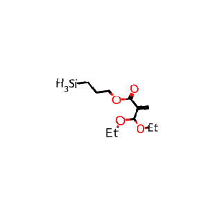 C=C(C(=O)OCCC[SiH3])C(OCC)OCC